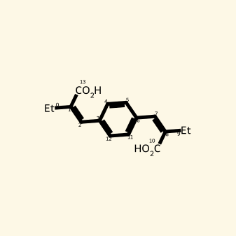 CCC(=Cc1ccc(C=C(CC)C(=O)O)cc1)C(=O)O